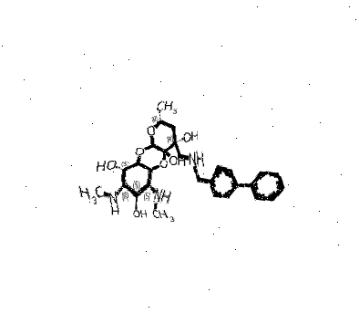 CN[C@@H]1[C@H](O)[C@H](NC)C2OC3(O)C(OC2[C@H]1O)O[C@H](C)C[C@@]3(O)CNCc1ccc(-c2ccccc2)cc1